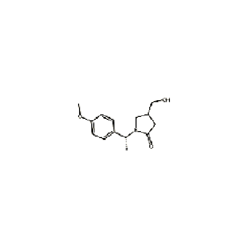 COc1ccc([C@@H](C)N2CC(CO)CC2=O)cc1